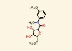 COC[C@H]1OC(C(=O)N(C)c2cccc(OC)c2)[C@H](O)[C@@H]1O